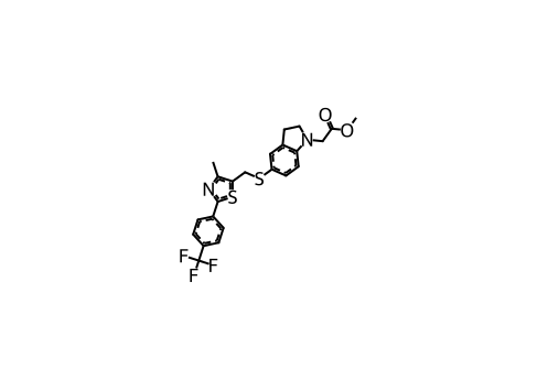 COC(=O)CN1CCc2cc(SCc3sc(-c4ccc(C(F)(F)F)cc4)nc3C)ccc21